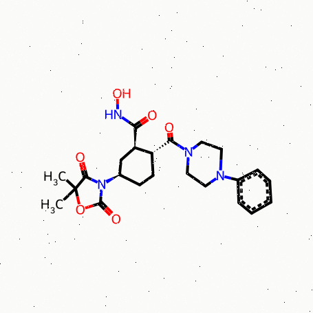 CC1(C)OC(=O)N([C@@H]2CC[C@@H](C(=O)N3CCN(c4ccccc4)CC3)[C@H](C(=O)NO)C2)C1=O